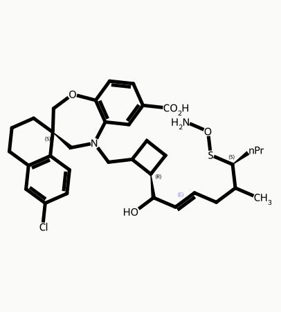 CCC[C@H](SON)C(C)C/C=C/C(O)[C@@H]1CCC1CN1C[C@@]2(CCCc3cc(Cl)ccc32)COc2ccc(C(=O)O)cc21